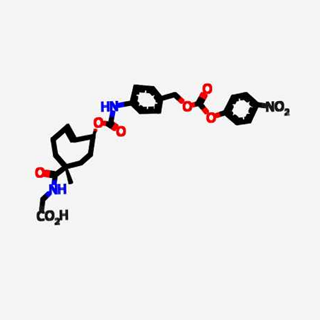 C[C@@]1(C(=O)NCC(=O)O)CC/C=C/[C@H](OC(=O)Nc2ccc(COC(=O)Oc3ccc([N+](=O)[O-])cc3)cc2)CC1